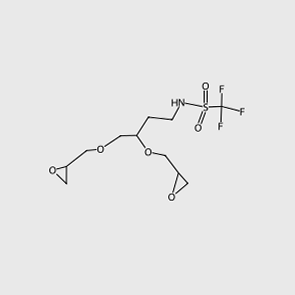 O=S(=O)(NCCC(COCC1CO1)OCC1CO1)C(F)(F)F